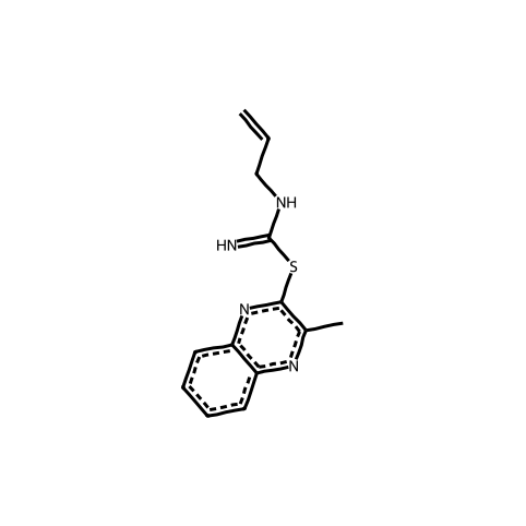 C=CCNC(=N)Sc1nc2ccccc2nc1C